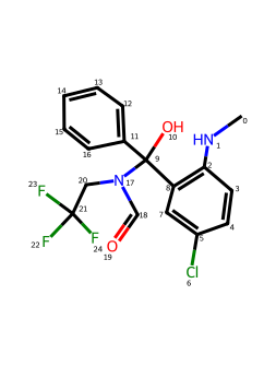 CNc1ccc(Cl)cc1C(O)(c1ccccc1)N(C=O)CC(F)(F)F